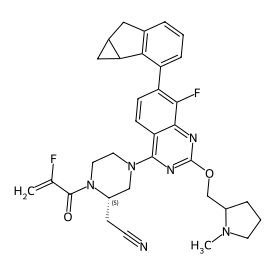 C=C(F)C(=O)N1CCN(c2nc(OCC3CCCN3C)nc3c(F)c(-c4cccc5c4C4CC4C5)ccc23)C[C@@H]1CC#N